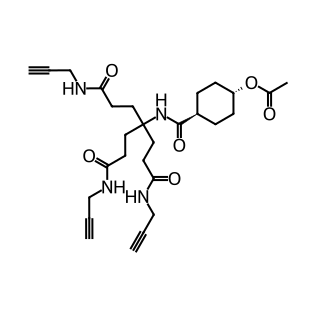 C#CCNC(=O)CCC(CCC(=O)NCC#C)(CCC(=O)NCC#C)NC(=O)[C@H]1CC[C@H](OC(C)=O)CC1